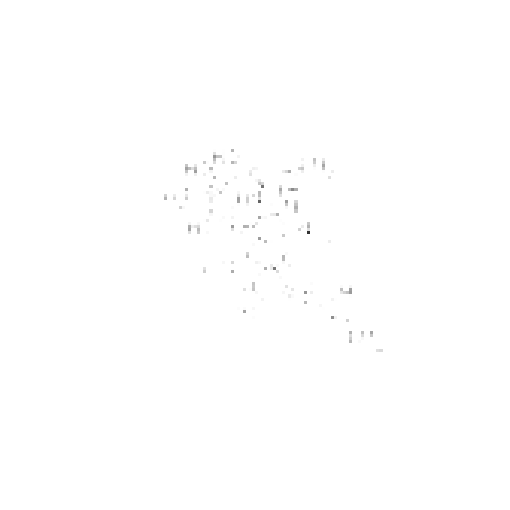 NCCC(O)CN[C@@H]1C[C@H](O)[C@@H](CN)O[C@@H]1OC1[C@@H](N)C[C@@H](NC(=O)C2(O)CC(N)C2)[C@H](O[C@H]2O[C@H](CO)[C@@H](O)[C@H](N)[C@H]2O)[C@H]1O